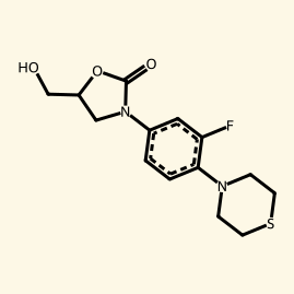 O=C1OC(CO)CN1c1ccc(N2CCSCC2)c(F)c1